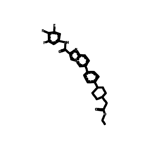 CCOC(=O)CC1CCC(c2ccc(-c3ccc4nc(C(=O)Nc5cc(F)c(F)c(F)c5)cn4c3)cc2)CC1